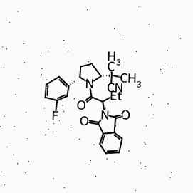 CCC(C(=O)N1[C@H](c2cccc(F)c2)CC[C@@H]1C(C)(C)C#N)N1C(=O)c2ccccc2C1=O